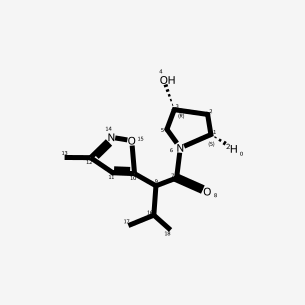 [2H][C@H]1C[C@@H](O)CN1C(=O)C(c1cc(C)no1)C(C)C